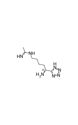 CC(=N)NCCCC[C@H](N)c1nnn[nH]1